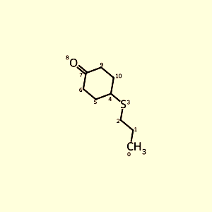 CCCSC1CCC(=O)CC1